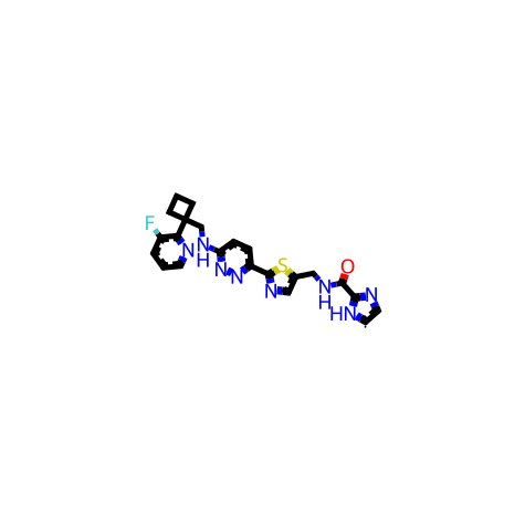 O=C(NCc1cnc(-c2ccc(NCC3(c4ncccc4F)CCC3)nn2)s1)c1nc[c][nH]1